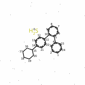 S.c1ccc(-c2ccccc2-c2ccc(C3CCCCC3)cc2)cc1